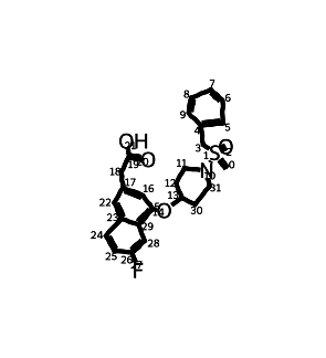 C=S(=O)(Cc1ccccc1)N1CCC(Oc2cc(CC(=O)O)cc3ccc(F)cc23)CC1